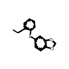 CCc1ccccc1Sc1ccc2c(c1)OCO2